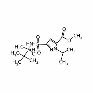 COC(=O)c1cc(S(=O)(=O)N[Si](C)(C)C(C)(C)C)nn1C(C)C